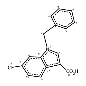 O=C(O)c1cn(Cc2ccccc2)c2cc(Cl)ccc12